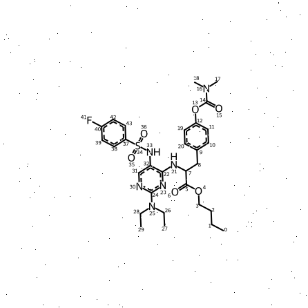 CCCCOC(=O)C(Cc1ccc(OC(=O)N(C)C)cc1)Nc1nc(N(CC)CC)ncc1NS(=O)(=O)c1ccc(F)cc1